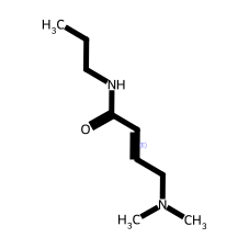 CCCNC(=O)/C=C/CN(C)C